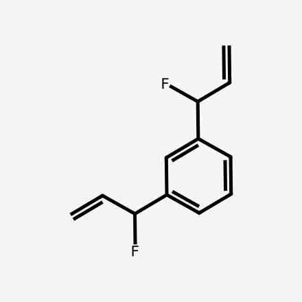 C=CC(F)c1cccc(C(F)C=C)c1